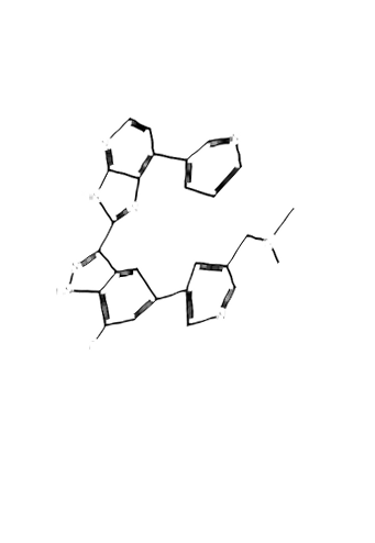 CN(C)Cc1cncc(-c2cc(F)c3[nH]nc(-c4nc5c(-c6cccnc6)ccnc5[nH]4)c3c2)c1